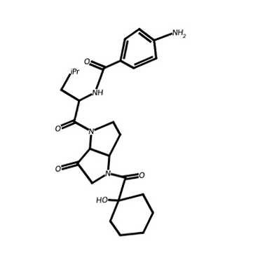 CC(C)CC(NC(=O)c1ccc(N)cc1)C(=O)N1CCC2C1C(=O)CN2C(=O)C1(O)CCCCC1